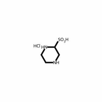 Cl.O=S(=O)(O)C1CNCCN1